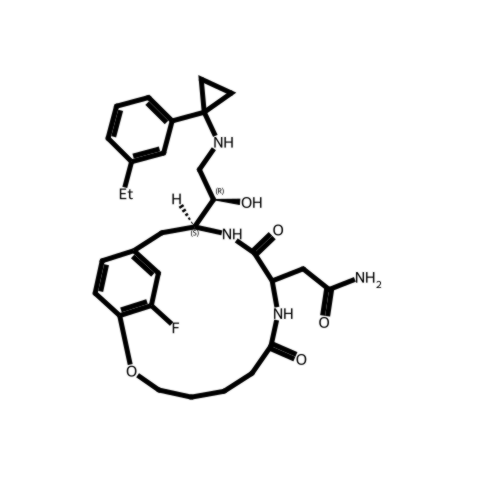 CCc1cccc(C2(NC[C@@H](O)[C@@H]3Cc4ccc(c(F)c4)OCCCCC(=O)NC(CC(N)=O)C(=O)N3)CC2)c1